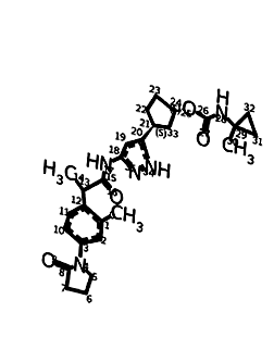 Cc1cc(N2CCCC2=O)ccc1C(C)C(=O)Nc1cc([C@H]2CC[C@H](OC(=O)NC3(C)CC3)C2)[nH]n1